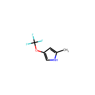 Cc1cc(OC(F)(F)F)c[nH]1